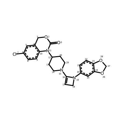 O=C1OCc2cc(Cl)ccc2N1C1CCN(C2=CCN2c2ccc3c(c2)OCO3)CC1